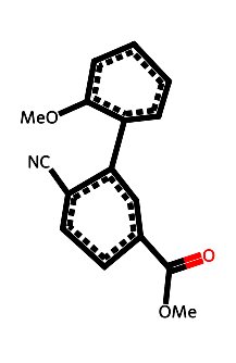 COC(=O)c1ccc(C#N)c(-c2ccccc2OC)c1